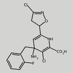 NC1(Cc2ccccc2F)C=C(C2CC(Cl)=NO2)NC(C(=O)O)=C1Cl